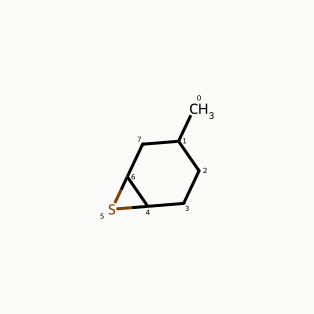 CC1CCC2SC2C1